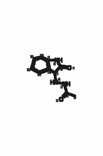 CC(=O)NNC1C(=O)Nc2ccccc21